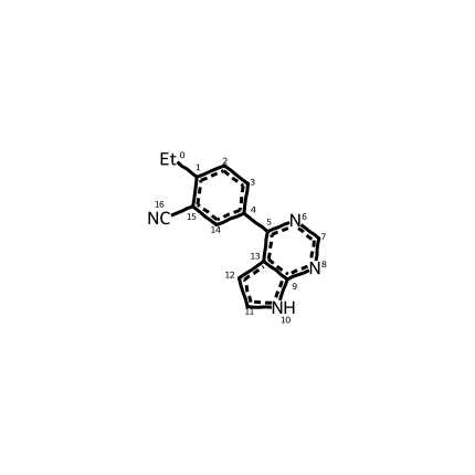 CCc1ccc(-c2ncnc3[nH]ccc23)cc1C#N